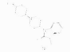 CC(C)[C@H]1CC[C@@H](N2CCC(N3C(=O)C(CC#N)c4ccccc43)CC2)CC1